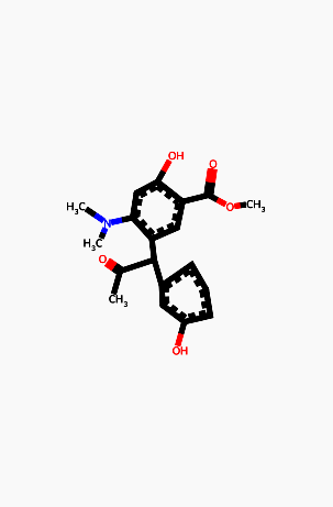 COC(=O)c1cc(C(C(C)=O)c2cccc(O)c2)c(N(C)C)cc1O